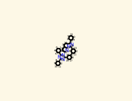 c1ccc(-c2nc(-c3ccccc3)nc(-c3cccc(-c4cccc(-c5nc(-c6ccccc6)c6ccc7cccnc7n56)c4)c3)n2)cc1